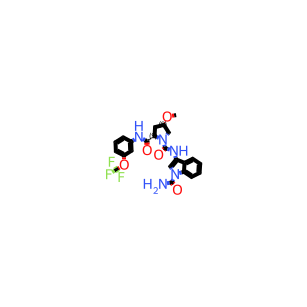 CO[C@H]1C[C@@H](C(=O)Nc2cccc(OC(F)(F)F)c2)N(C(=O)Nc2cn(C(N)=O)c3ccccc23)C1